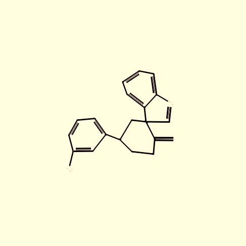 Nc1cccc(C2CCC(=O)C3(C=Nc4ccccc43)C2)c1